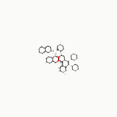 c1ccc(-c2c(-c3ccccc3)c3cc(-c4ccccc4N(c4ccc5ccccc5c4)c4cccc5ccccc45)ccc3c3ccccc23)cc1